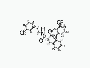 O=C(NCCc1cccc(Cl)c1)c1cc2ccccc2n(-c2cccc(C(F)(F)F)c2)c1=O